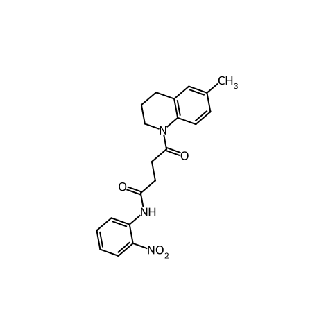 Cc1ccc2c(c1)CCCN2C(=O)CCC(=O)Nc1ccccc1[N+](=O)[O-]